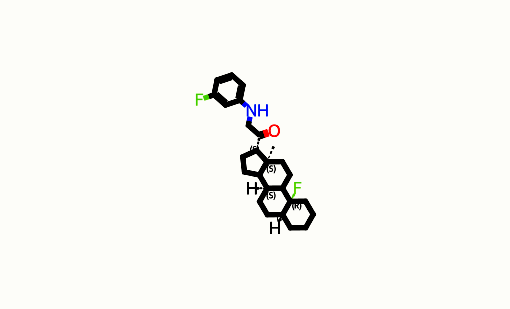 C[C@]12CCC3[C@@H](CC[C@@H]4CCCC[C@]34F)C1CC[C@@H]2C(=O)CNc1cccc(F)c1